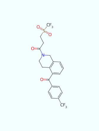 O=C(c1ccc(C(F)(F)F)cc1)c1cccc2c1CCN(C(=O)CCS(=O)(=O)C(F)(F)F)C2